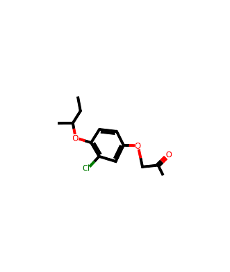 CCC(C)Oc1ccc(OCC(C)=O)cc1Cl